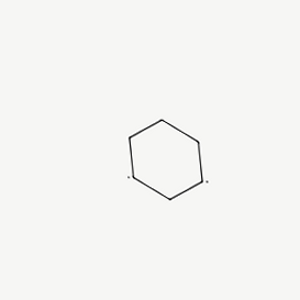 [CH]1C[CH]CCC1